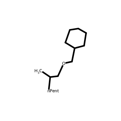 CCCCCC(C)COCC1CCCCC1